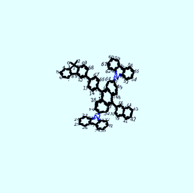 CC1(C)c2ccccc2-c2cc(-c3ccc(-c4c5ccc(-n6c7ccccc7c7ccccc76)cc5c(-c5ccc6ccccc6c5)c5ccc(-n6c7ccccc7c7ccccc76)cc45)cc3)ccc21